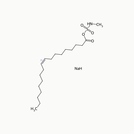 CCCCCCCC/C=C\CCCCCCCC(=O)OS(=O)(=O)NC.[NaH]